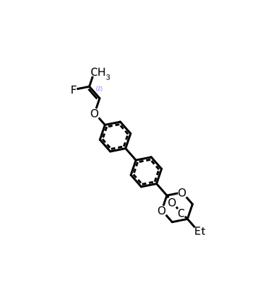 CCC12COC(c3ccc(-c4ccc(O/C=C(/C)F)cc4)cc3)(OC1)OC2